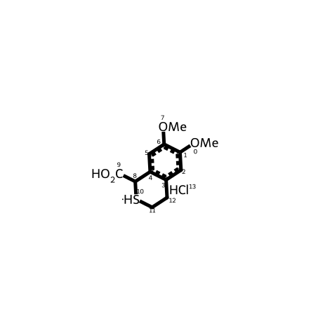 COc1cc2c(cc1OC)C(C(=O)O)[SH]CC2.Cl